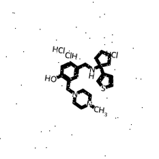 CN1CCN(Cc2cc(CNC3(c4ccsc4)CCCC3)ccc2O)CC1.Cl.Cl.Cl